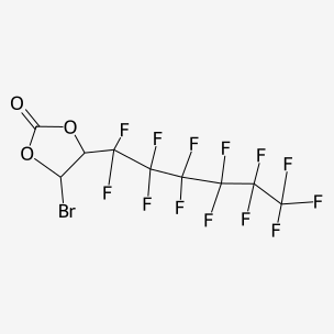 O=C1OC(Br)C(C(F)(F)C(F)(F)C(F)(F)C(F)(F)C(F)(F)C(F)(F)F)O1